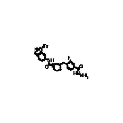 CC(C)n1ncc2ccc(NC(=O)N3CCSC(Cc4ccc(C(=O)NN)cc4F)C3)cc21